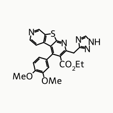 CCOC(=O)c1c(Cc2nc[nH]n2)nc2sc3cnccc3c2c1-c1ccc(OC)c(OC)c1